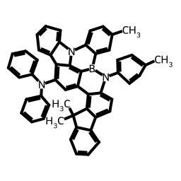 Cc1ccc(N2B3c4cc(C)ccc4-n4c5ccccc5c5c(N(c6ccccc6)c6ccccc6)cc(c3c54)-c3c2ccc2c3C(C)(C)c3ccccc3-2)cc1